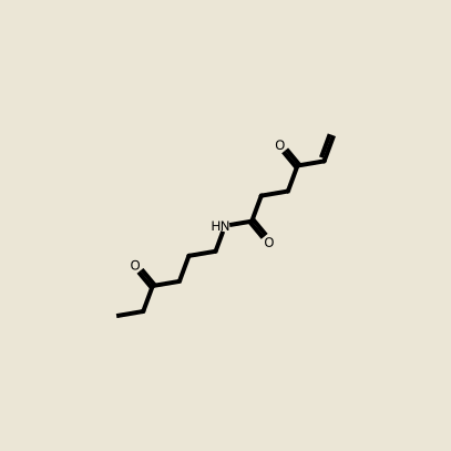 C=CC(=O)CCC(=O)NCCCC(=O)CC